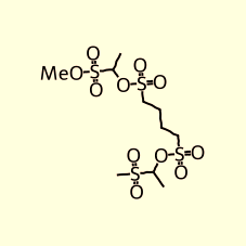 COS(=O)(=O)C(C)OS(=O)(=O)CCCCS(=O)(=O)OC(C)S(C)(=O)=O